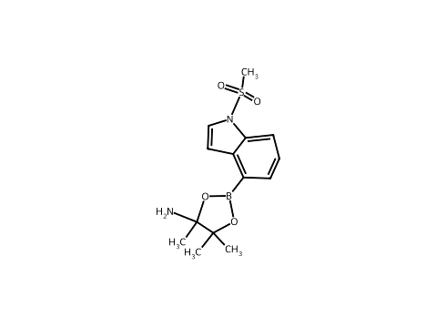 CC1(C)OB(c2cccc3c2ccn3S(C)(=O)=O)OC1(C)N